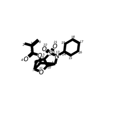 C=C(C)C(=O)OC1C2CC3C(O2)C1N(C1CCCCC1)S3(=O)=O